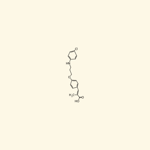 C/C(=C\c1ccc(OCCCNc2ccc(Cl)cc2)cc1)C(=O)O